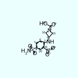 NS(=O)(=O)c1ccc(NC2CN(C(=O)O)C2)c([N+](=O)[O-])c1